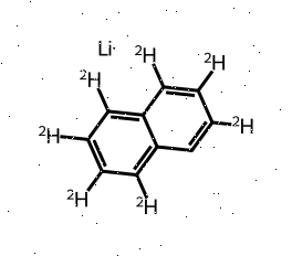 [2H]c1cc2c([2H])c([2H])c([2H])c([2H])c2c([2H])c1[2H].[Li]